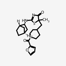 CC1(CC2CCN(C(=O)c3ccco3)CC2)SC(N[C@H]2C[C@H]3CC[C@H]2C3)=NC1=O